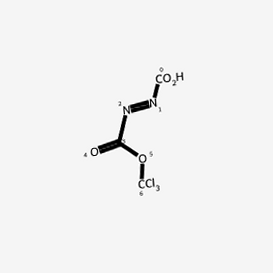 O=C(O)N=NC(=O)OC(Cl)(Cl)Cl